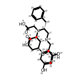 O=C(O)CN(CC(=O)O)[C@H](Cc1ccccc1)CN(CC(=O)O)[C@H]1CCCC[C@@H]1N(CC(=O)O)CC(=O)O